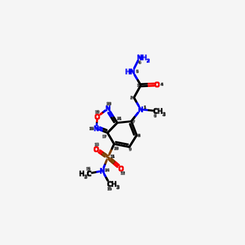 CN(CC(=O)NN)c1ccc(S(=O)(=O)N(C)C)c2nonc12